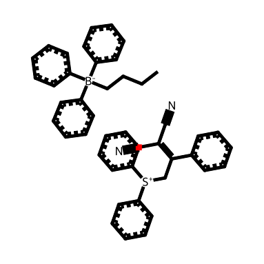 CCCC[B-](c1ccccc1)(c1ccccc1)c1ccccc1.N#CC(C#N)=C(C[S+](c1ccccc1)c1ccccc1)c1ccccc1